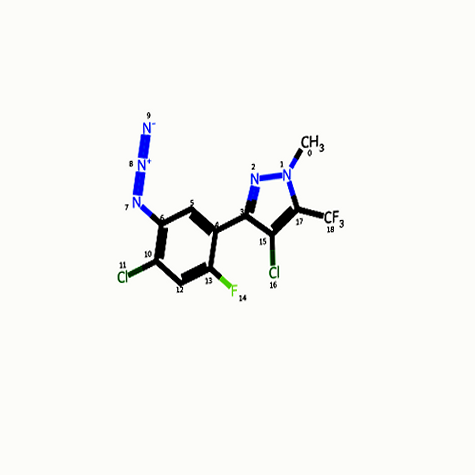 Cn1nc(-c2cc(N=[N+]=[N-])c(Cl)cc2F)c(Cl)c1C(F)(F)F